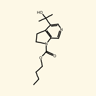 CCCCOC(=O)N1CCc2c1cncc2C(C)(C)O